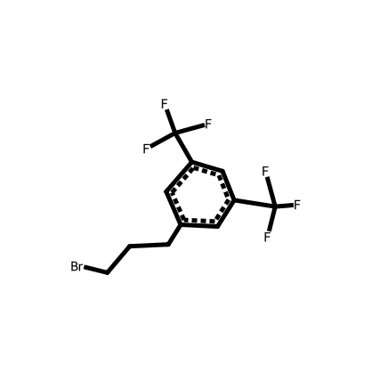 FC(F)(F)c1cc(CCCBr)cc(C(F)(F)F)c1